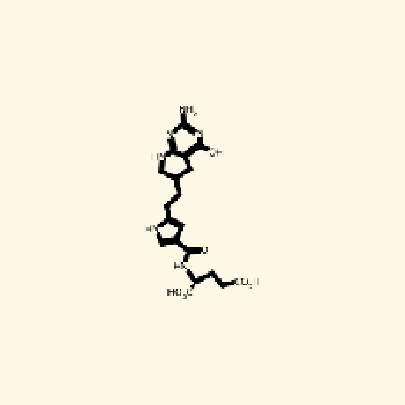 Nc1nc(O)c2c(n1)NCC(CCc1cc(C(=O)N[C@@H](CCC(=O)O)C(=O)O)c[nH]1)C2